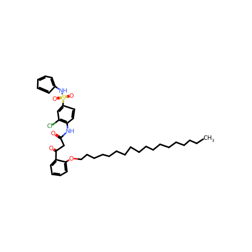 CCCCCCCCCCCCCCCCCCOc1ccccc1C(=O)CC(=O)Nc1ccc(S(=O)(=O)Nc2ccccc2)cc1Cl